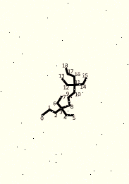 CCCC(CC)(CC)C[CH]CC(CC)(CC)CCC